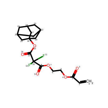 C=CC(=O)OCCOC(=O)C(F)(F)C(=O)OC12CC3CC(CC(C3)C1)C2